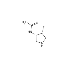 CC(=O)N[C@H]1CNC[C@H]1F